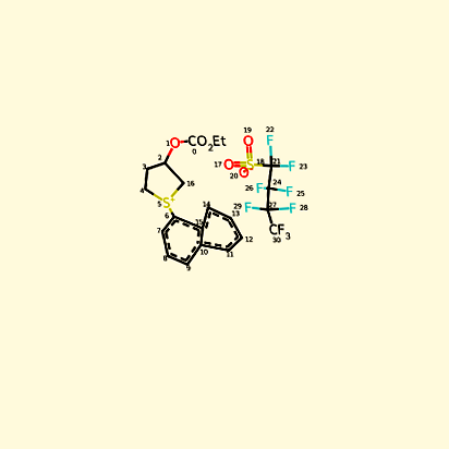 CCOC(=O)OC1CC[S+](c2cccc3ccccc23)C1.O=S(=O)([O-])C(F)(F)C(F)(F)C(F)(F)C(F)(F)F